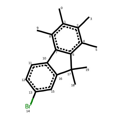 Cc1c(C)c(C)c2c(c1C)-c1ccc(Br)cc1C2(C)C